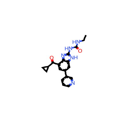 CCNC(=O)Nc1nc2c(C(=O)C3CC3)cc(-c3cccnc3)cc2[nH]1